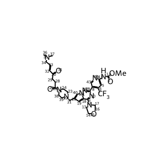 COC(=O)Nc1cc(C(F)(F)F)c(-c2nc(N3CCOCC3)c3cc(CN4CCN(C(=O)CCC(=O)/C=C/CN(C)C)CC4)cn3n2)cn1